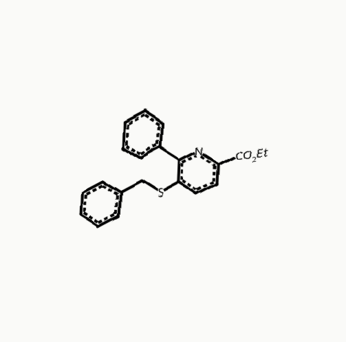 CCOC(=O)c1ccc(SCc2ccccc2)c(-c2ccccc2)n1